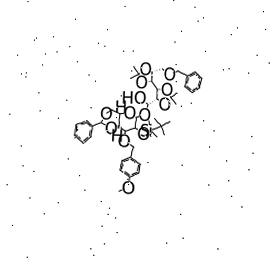 COc1ccc(CO[C@@H]2[C@H](O[Si](C)(C)C(C)(C)C)[C@H](OC(O)[C@H]3OC(C)(C)O[C@H]3[C@@H]3OC(C)(C)O[C@@H]3COCc3ccccc3)O[C@@H]3COC(c4ccccc4)O[C@@H]23)cc1